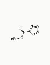 CCCCOC(=O)c1ccon1